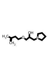 C=C(C)CCOCC(O)CN1CCCC1